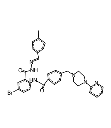 Cc1ccc(C=NNC(=O)c2cc(Br)ccc2NC(=O)c2ccc(CN3CCN(c4ccccn4)CC3)cc2)cc1